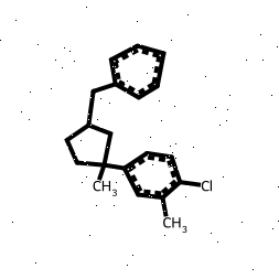 Cc1cc(C2(C)CCC(Cc3ccccc3)C2)ccc1Cl